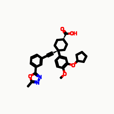 COc1ccc([C@]2(C#Cc3cccc(-c4nnc(C)o4)c3)CC[C@@H](C(=O)O)CC2)cc1OC1CCCC1